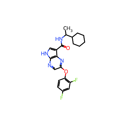 CC(NC(=O)c1c[nH]c2ncc(Oc3ccc(F)cc3F)nc12)C1CCCCC1